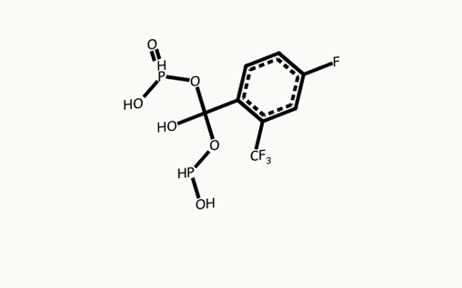 O=[PH](O)OC(O)(OPO)c1ccc(F)cc1C(F)(F)F